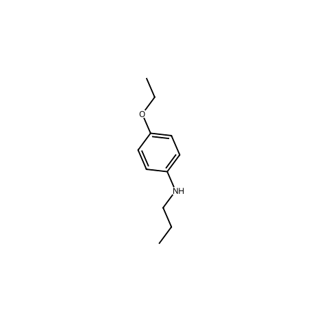 CCCNc1ccc(OCC)cc1